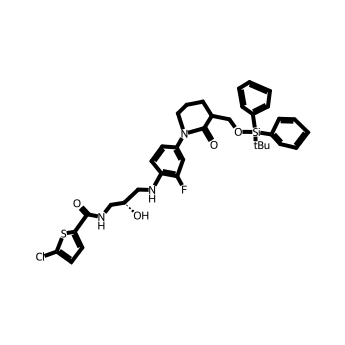 CC(C)(C)[Si](OCC1CCCN(c2ccc(NC[C@H](O)CNC(=O)c3ccc(Cl)s3)c(F)c2)C1=O)(c1ccccc1)c1ccccc1